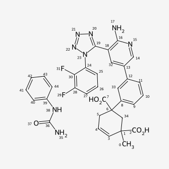 CC1(C(=O)O)C=CCC(C(=O)O)(c2cccc(-c3cnc(N)c(-c4nnnn4-c4cccc(F)c4F)c3)c2)C1.NC(=O)Nc1ccccc1